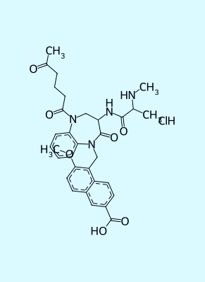 CNC(C)C(=O)NC1CN(C(=O)CCCC(C)=O)c2ccccc2N(Cc2c(OC)ccc3cc(C(=O)O)ccc23)C1=O.Cl